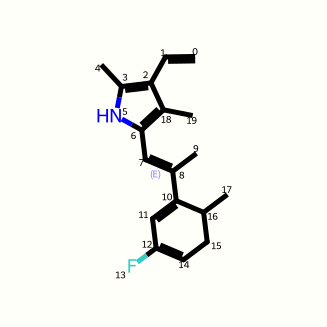 C=Cc1c(C)[nH]c(/C=C(\C)C2=CC(F)=CCC2C)c1C